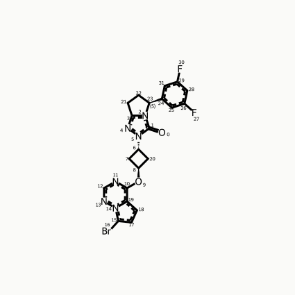 O=c1n2c(nn1[C@H]1C[C@H](Oc3ncnn4c(Br)ccc34)C1)CC[C@H]2c1cc(F)cc(F)c1